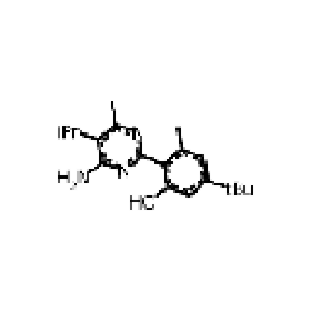 Cc1cc(C(C)(C)C)cc(O)c1-c1nc(C)c(C(C)C)c(N)n1